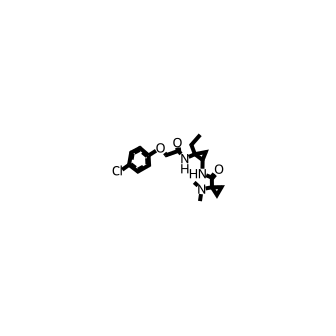 CCC1(NC(=O)COc2ccc(Cl)cc2)CC1NC(=O)C1(N(C)C)CC1